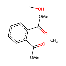 C.CO.COC(=O)c1ccccc1C(=O)OC